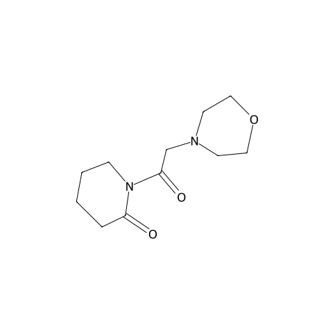 O=C1CCCCN1C(=O)CN1CCOCC1